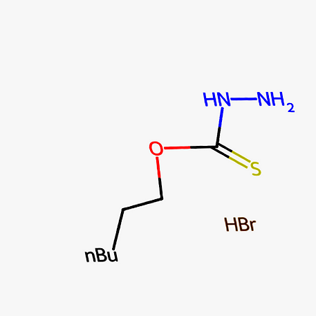 Br.CCCCCCOC(=S)NN